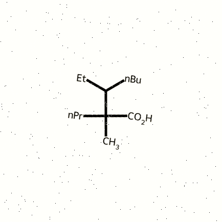 CCCCC(CC)C(C)(CCC)C(=O)O